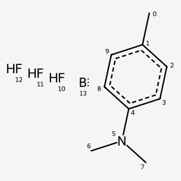 Cc1ccc(N(C)C)cc1.F.F.F.[B]